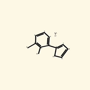 Cc1cccc(C2=CC=CC2)c1C.[V]